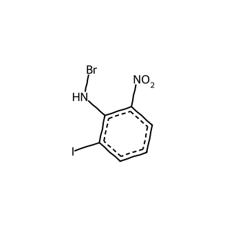 O=[N+]([O-])c1cccc(I)c1NBr